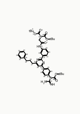 CC(C)(C)OC(=O)N(CC(=O)Nc1cccc(-c2nc(CCCc3ccccc3)cc(-c3ccc(N(C(=N)N)C(=O)OC(C)(C)C)cc3)n2)c1)C(=O)OC(C)(C)C